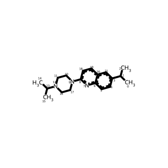 CC(C)c1ccc2nc(N3CCN(C(C)C)CC3)ccc2c1